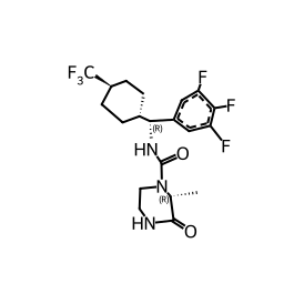 C[C@@H]1C(=O)NCCN1C(=O)N[C@@H](c1cc(F)c(F)c(F)c1)[C@H]1CC[C@H](C(F)(F)F)CC1